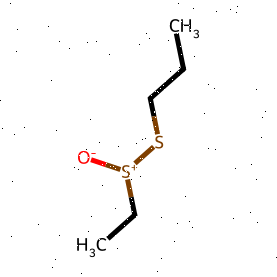 CCCS[S+]([O-])CC